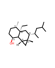 CC[C@]12C[C@H](C(C)CC(C)C)[C@]3(C)C[C@@H]3C1[C@@H](O)CC[C@@H]2C